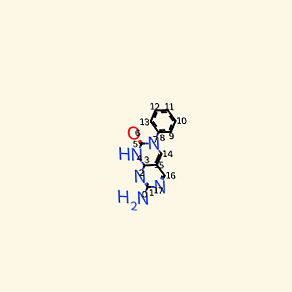 NC1=NC2NC(=O)N(c3ccccc3)C=C2C=N1